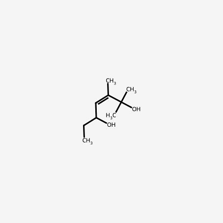 CCC(O)C=C(C)C(C)(C)O